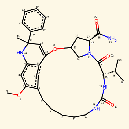 COc1cc2c3cc1CCCCCNC(=O)N[C@@H](C(C)C)C(=O)N1CC(C[C@H]1C(N)=O)OC3=CC(C)(c1ccccc1)N2